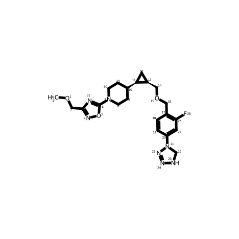 COCc1noc(N2CCC([C@H]3C[C@H]3COCc3ccc(N4CNN=N4)cc3F)CC2)n1